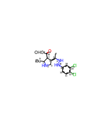 CCC(C)C1NCC(=C(C)NNc2ccc(Cl)c(Cl)c2)C1C(=O)C=O